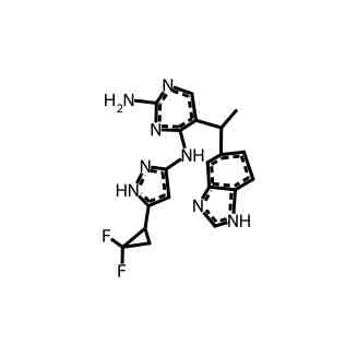 CC(c1ccc2[nH]cnc2c1)c1cnc(N)nc1Nc1cc(C2CC2(F)F)[nH]n1